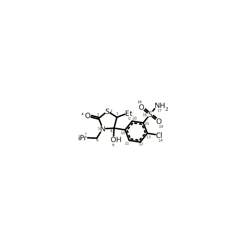 CCC1SC(=O)N(CC(C)C)C1(O)c1ccc(Cl)c(S(N)(=O)=O)c1